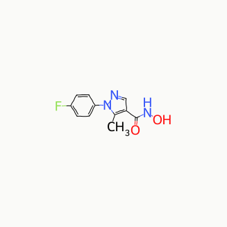 Cc1c(C(=O)NO)cnn1-c1ccc(F)cc1